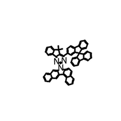 CC1(C)c2ccccc2-c2nc(-n3c4cc5ccccc5cc4c4c5ccccc5ccc43)nc(-c3ccc4c(c3)C3(c5ccccc5-c5ccccc53)c3ccccc3-4)c21